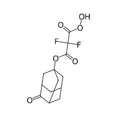 O=C1C2CC3CC1CC(OC(=O)C(F)(F)C(=O)OO)(C3)C2